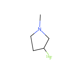 CN1CCC([18F])C1